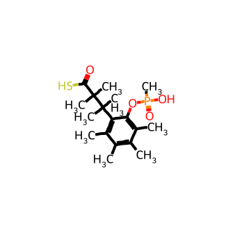 Cc1c(C)c(C)c(C(C)(C)C(C)(C)C(=O)S)c(OP(C)(=O)O)c1C